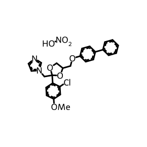 COc1ccc(C2(Cn3ccnc3)OCC(COc3ccc(-c4ccccc4)cc3)O2)c(Cl)c1.O=[N+]([O-])O